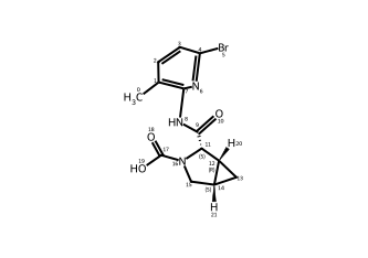 Cc1ccc(Br)nc1NC(=O)[C@@H]1[C@@H]2C[C@@H]2CN1C(=O)O